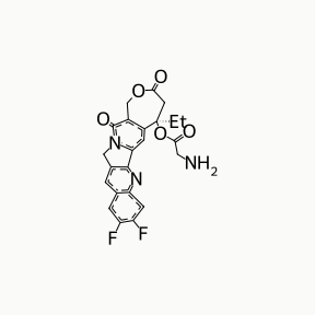 CC[C@@]1(OC(=O)CN)CC(=O)OCc2c1cc1n(c2=O)Cc2cc3cc(F)c(F)cc3nc2-1